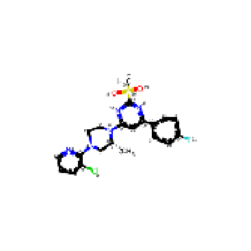 C[C@@H]1CN(c2ncccc2Cl)CCN1c1cc(-c2ccc(F)cc2)nc(S(C)(=O)=O)n1